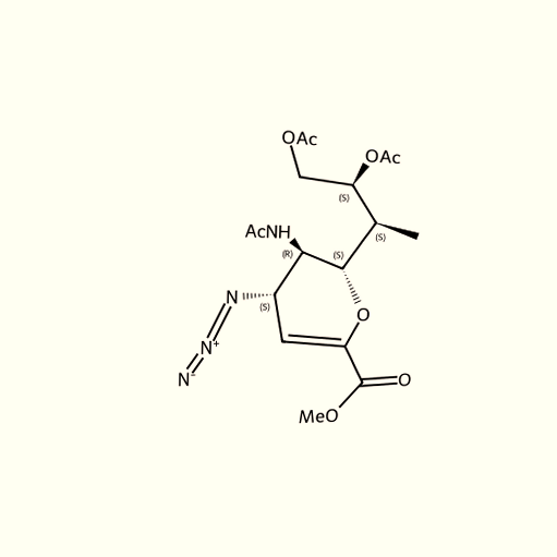 COC(=O)C1=C[C@H](N=[N+]=[N-])[C@@H](NC(C)=O)[C@H]([C@H](C)[C@@H](COC(C)=O)OC(C)=O)O1